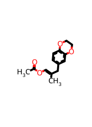 CC(=O)OC=C(C)Cc1ccc2c(c1)OCCO2